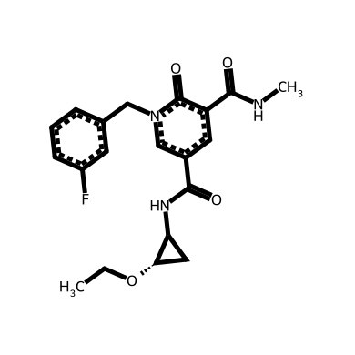 CCO[C@H]1CC1NC(=O)c1cc(C(=O)NC)c(=O)n(Cc2cccc(F)c2)c1